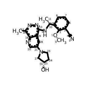 COc1c(C#N)cccc1[C@@H](C)Nc1nnc(C)c2ncc(N3CC[C@H](O)C3)cc12